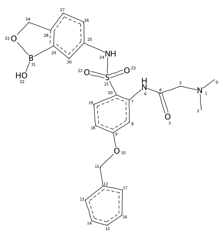 CN(C)CC(=O)Nc1cc(OCc2ccccc2)ccc1S(=O)(=O)Nc1ccc2c(c1)B(O)OC2